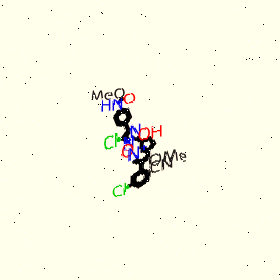 COC(=O)Nc1ccc(-c2nc3n(c2Cl)O[n+]2cc(-c4cc(Cl)ccc4C#N)c(OC)c4c2C3(O)CC4)cc1